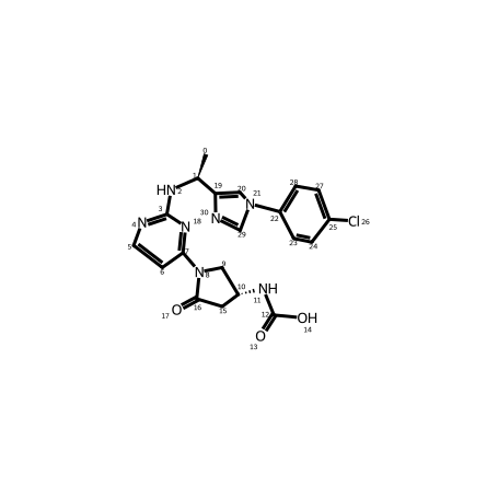 C[C@H](Nc1nccc(N2C[C@H](NC(=O)O)CC2=O)n1)c1cn(-c2ccc(Cl)cc2)cn1